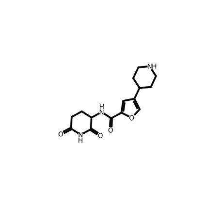 O=C1CCC(NC(=O)c2cc(C3CCNCC3)co2)C(=O)N1